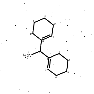 NC(C1=CCCCC1)C1=CCCCC1